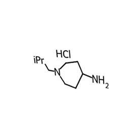 CC(C)CN1CCC(N)CC1.Cl